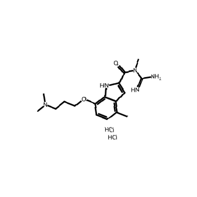 Cc1ccc(OCCCN(C)C)c2[nH]c(C(=O)N(C)C(=N)N)cc12.Cl.Cl